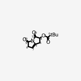 CC(C)(C)C(=O)OC1CC2=CCC(=O)N2C1=O